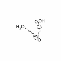 CCCCC=CC=C[C@H]1CCC(=O)N1CCCc1ccc(C(=O)O)cc1